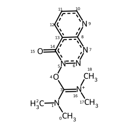 CN(C)C(On1nnc2ncccc2c1=O)=[N+](C)C